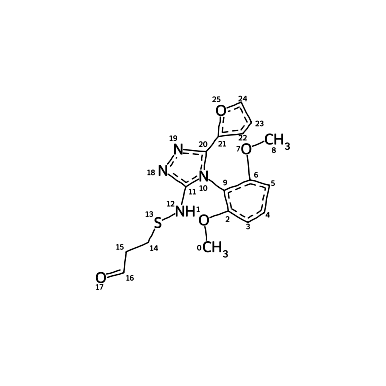 COc1cccc(OC)c1-n1c(NSCCC=O)nnc1-c1ccco1